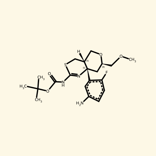 COC[C@H]1C[C@]2(c3cc(N)ccc3F)N=C(NC(=O)OC(C)(C)C)SC[C@@H]2CO1